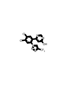 Oc1cc(-c2cc(Cl)c(Cl)cc2-n2cc(C(F)(F)F)nn2)ncn1